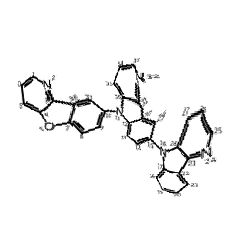 c1cnc2c(c1)oc1ccc(-n3c4ccc(-n5c6ccccc6c6ncccc65)cc4c4ncccc43)cc12